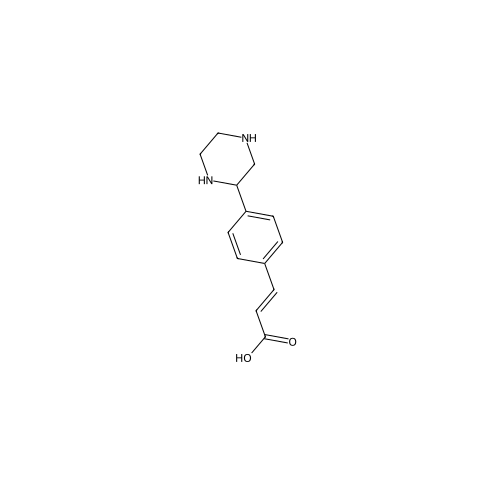 O=C(O)C=Cc1ccc(C2CNCCN2)cc1